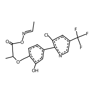 CC=NOC(=O)C(C)Oc1ccc(-c2ncc(C(F)(F)F)cc2Cl)cc1O